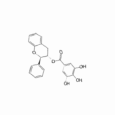 O=C(O[C@H]1Cc2ccccc2O[C@@H]1c1ccccc1)c1cc(O)c(O)c(O)c1